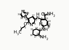 CCCOc1ncc(Nc2nc(N[C@@H]3CCCC[C@@H]3N)c(F)cc2C(N)=O)cc1-n1ccnn1